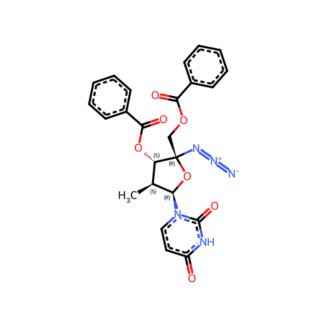 C[C@@H]1[C@H](n2ccc(=O)[nH]c2=O)O[C@@](COC(=O)c2ccccc2)(N=[N+]=[N-])[C@H]1OC(=O)c1ccccc1